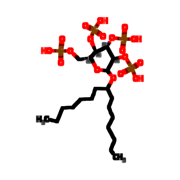 CCCCCCCC(CCCCCCC)OC1O[C@H](COS(=O)(=O)O)[C@@H](OS(=O)(=O)O)[C@H](OS(=O)(=O)O)[C@H]1OS(=O)(=O)O